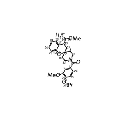 COc1cc(C(=O)N2CCC3(CC2)CC(C(C)OC)c2ccccc2O3)ccc1OC(C)C